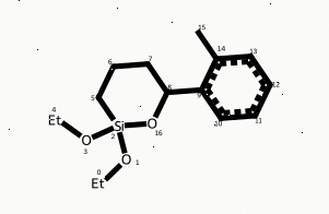 CCO[Si]1(OCC)CCCC(c2ccccc2C)O1